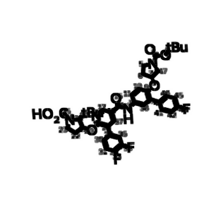 CC(C)(C)OC(=O)N1CC[C@H](Oc2ccc(NC(=O)c3cnc(OC4CCN(C(=O)O)C4C(C)(C)C)c(-c4ccc(F)c(F)c4)c3)cc2-c2ccc(F)cc2)C1